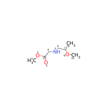 COC(=O)CNCC(C)OC